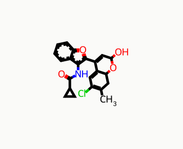 CC1=C(Cl)C=C2C(c3oc4ccccc4c3NC(=O)C3CC3)=CC(O)OC2C1